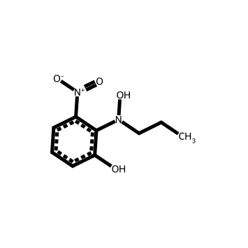 CCCN(O)c1c(O)cccc1[N+](=O)[O-]